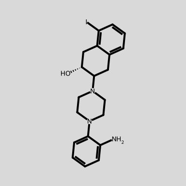 Nc1ccccc1N1CCN(C2Cc3cccc(I)c3C[C@H]2O)CC1